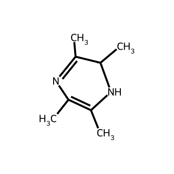 C[C]1NC(C)=C(C)N=C1C